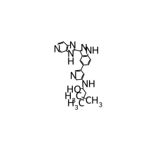 CC(C)(C)CC(O)Nc1cncc(-c2ccc3[nH]nc(-c4nc5ccncc5[nH]4)c3c2)c1